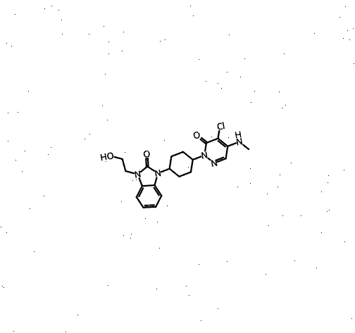 CNc1cnn(C2CCC(n3c(=O)n(CCO)c4ccccc43)CC2)c(=O)c1Cl